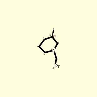 CC(C)CN1CCC[C@@H](C)C1